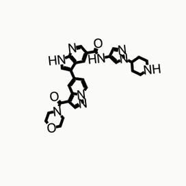 O=C(Nc1cnn(C2CCNCC2)c1)c1cnc2[nH]cc(-c3ccn4ncc(C(=O)N5CCOCC5)c4c3)c2c1